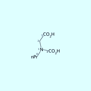 CCCN(CC(=O)O)C(=O)O